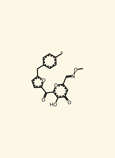 CON=Cc1cc(=O)c(O)c(C(=O)c2ccc(Cc3ccc(F)cc3)o2)o1